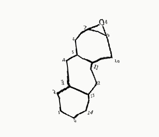 C1CCC2CC3CC4OC4CC3CC2C1